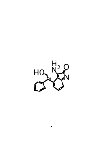 NC1=c2c([C@H](CO)c3ccccc3)cccc2=NC1=O